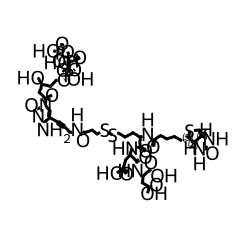 Nc1nc(=O)n(C2CC(O)C(COP(=O)(O)OP(=O)(O)OP(=O)(O)O)O2)cc1C#CCNC(=O)CCSSCCCC(NC(=O)CCCC[C@@H]1SC[C@@H]2NC(=O)N[C@@H]21)C(=O)NC(CC(=O)O)C(=O)NC(CC(=O)O)C(=O)O